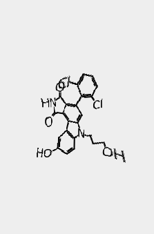 O=C1NC(=O)c2c1c(-c1c(Cl)cccc1Cl)cc1c2c2cc(O)ccc2n1CCCO